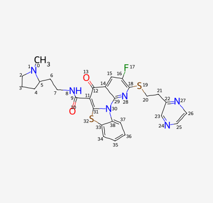 CN1CCCC1CCNC(=O)c1c(=O)c2cc(F)c(SCCc3cnccn3)nc2n2c1sc1ccccc12